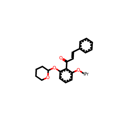 CC(C)Oc1cccc(OC2CCCCO2)c1C(=O)/C=C/c1ccccc1